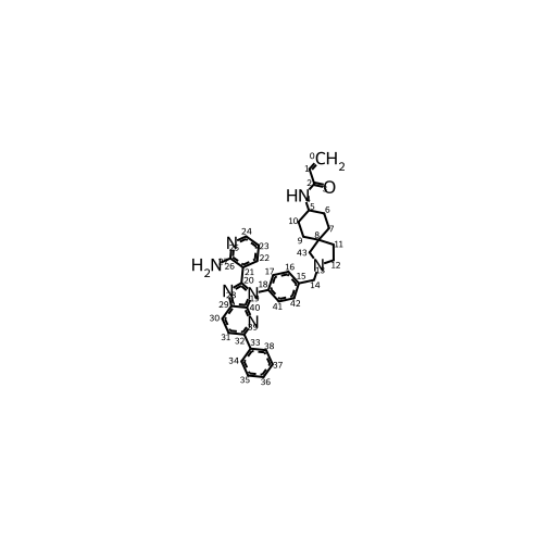 C=CC(=O)NC1CCC2(CC1)CCN(Cc1ccc(-n3c(-c4cccnc4N)nc4ccc(-c5ccccc5)nc43)cc1)C2